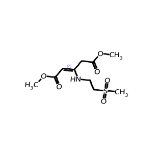 COC(=O)/C=C(/CC(=O)OC)NCCS(C)(=O)=O